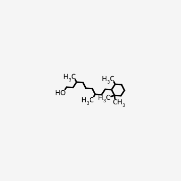 CC(CCO)CCCC(C)CCC1C(C)CCCC1(C)C